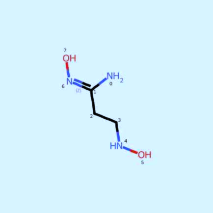 N/C(CCNO)=N\O